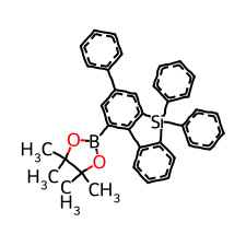 CC1(C)OB(c2cc(-c3ccccc3)cc3c2-c2ccccc2[Si]3(c2ccccc2)c2ccccc2)OC1(C)C